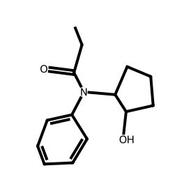 CCC(=O)N(c1ccccc1)C1CCCC1O